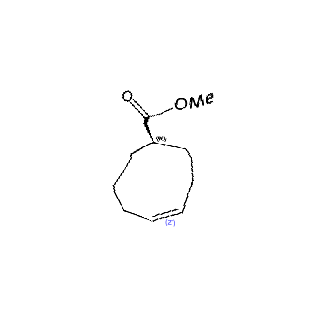 COC(=O)[C@H]1CC/C=C\CCC1